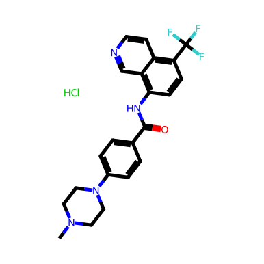 CN1CCN(c2ccc(C(=O)Nc3ccc(C(F)(F)F)c4ccncc34)cc2)CC1.Cl